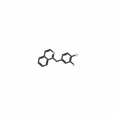 Fc1cc(Cc2nccc3ccccc23)ccc1Cl